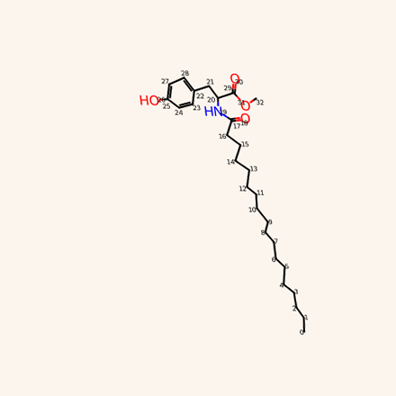 CCCCCCCCCCCCCCCCCC(=O)NC(Cc1ccc(O)cc1)C(=O)OC